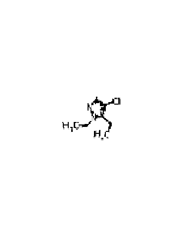 CCc1c(Cl)[c]nn1CC